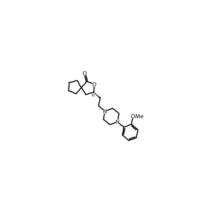 COc1ccccc1N1CCN(CC[C@H]2CC3(CCCC3)C(=O)O2)CC1